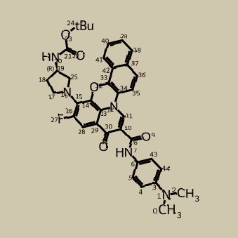 CN(C)c1ccc(NC(=O)c2cn3c4c(c(N5CC[C@@H](NC(=O)OC(C)(C)C)C5)c(F)cc4c2=O)Oc2c-3ccc3ccccc23)cc1